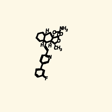 C[C@H]1OC(=O)[C@]2(OC(N)=O)C[C@@H]3CCCC[C@H]3[C@H](/C=C/c3ccc(-c4cccc(F)c4)cn3)[C@H]12